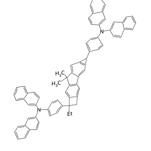 CCC1(c2ccc(N(c3ccc4ccccc4c3)c3ccc4ccccc4c3)cc2)Cc2cc3c(cc21)C(C)(C)c1cc2c(cc1-3)C2c1ccc(N(c2ccc3ccccc3c2)c2ccc3ccccc3c2)cc1